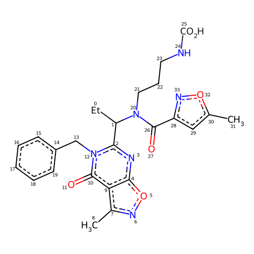 CCC(c1nc2onc(C)c2c(=O)n1Cc1ccccc1)N(CCCNC(=O)O)C(=O)c1cc(C)on1